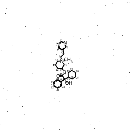 C[N+]1(CCc2cncnc2)CCCC(OC(=O)[C@](O)(c2ccccc2)C2CCCCC2)C1